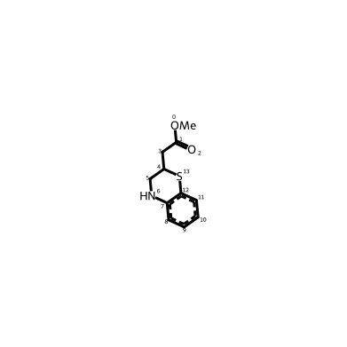 COC(=O)CC1CNc2ccccc2S1